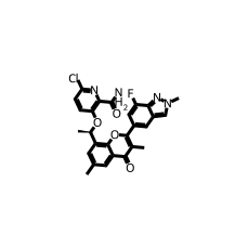 Cc1cc([C@@H](C)Oc2ccc(Cl)nc2C(N)=O)c2oc(-c3cc(F)c4nn(C)cc4c3)c(C)c(=O)c2c1